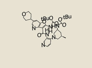 C[C@@H]1C[C@H](NC(=O)OC(C)(C)C)CN(c2ccncc2NC(=O)c2c(NC(=O)OC(C)(C)C)oc3cc(C4CCOCC4)cnc23)C1